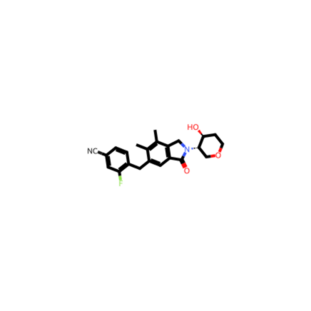 Cc1c(Cc2ccc(C#N)cc2F)cc2c(c1C)CN([C@H]1COCC[C@@H]1O)C2=O